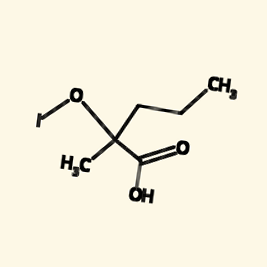 CCCC(C)(OI)C(=O)O